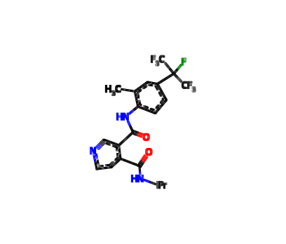 Cc1cc(C(F)(C(F)(F)F)C(F)(F)F)ccc1NC(=O)c1cnccc1C(=O)NC(C)C